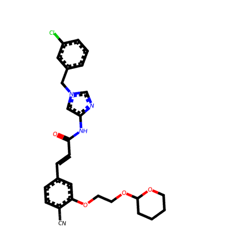 N#Cc1ccc(/C=C/C(=O)Nc2cn(Cc3cccc(Cl)c3)cn2)cc1OCCOC1CCCCO1